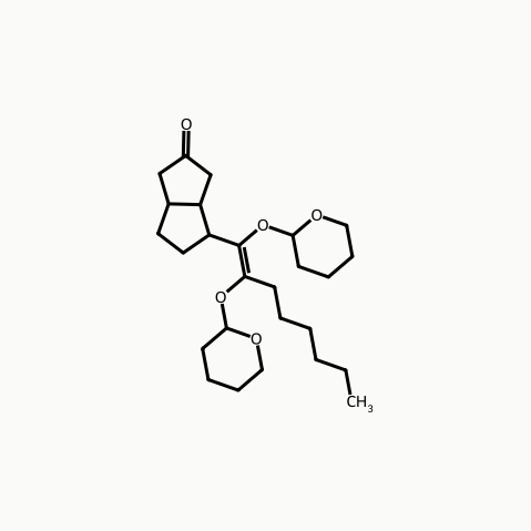 CCCCCCC(OC1CCCCO1)=C(OC1CCCCO1)C1CCC2CC(=O)CC21